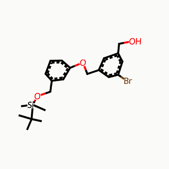 CC(C)(C)[Si](C)(C)OCc1cccc(OCc2cc(Br)cc(CO)c2)c1